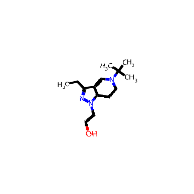 CCC1=NN(CCO)C2CCN(C(C)(C)C)C=C12